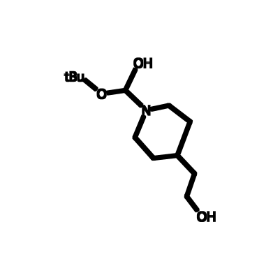 CC(C)(C)OC(O)N1CCC(CCO)CC1